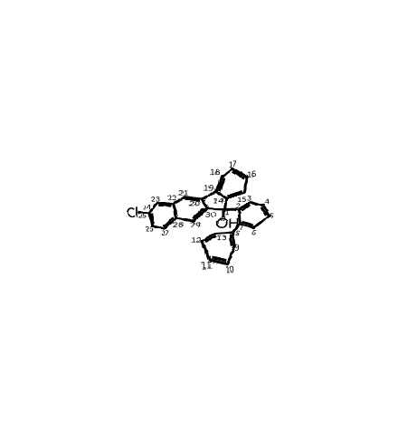 OC1(c2ccccc2-c2ccccc2)c2ccccc2-c2cc3cc(Cl)ccc3cc21